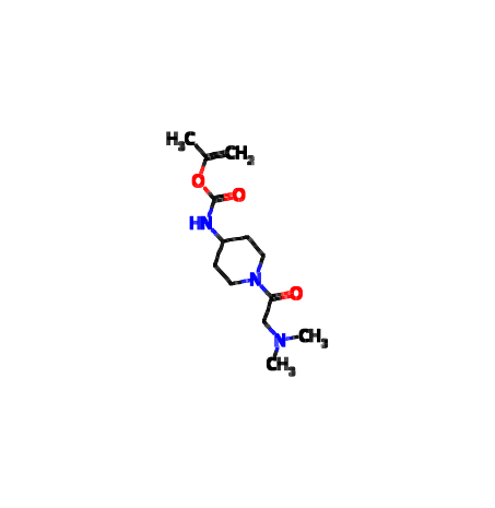 C=C(C)OC(=O)NC1CCN(C(=O)CN(C)C)CC1